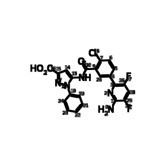 Nc1nc(-c2ccc(Cl)c(C(=O)Nc3cc(C(=O)O)nn3-c3ccccc3)c2)c(F)cc1F